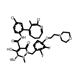 CC1=C(Cl)/N=C\CC/C=C\1c1cc(Cl)ccc1NC(=O)C1=C(O)[C@H](C(C)(C)C)N(C)N(Cc2ccc(OCCN3CCOCC3)c(F)c2F)C1=O